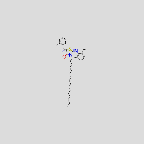 CCCCCCCCCCCCCCCCN1C(=O)/C(=C/c2ccccc2C)S/C1=N/c1c(CC)cccc1CC